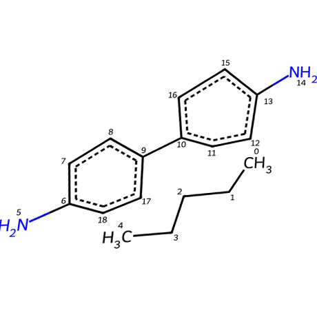 CCCCC.Nc1ccc(-c2ccc(N)cc2)cc1